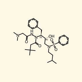 CC(C)CCN(C[C@@H](O)[C@H](Cc1ccccc1)N(NC(=O)CN(C)C)C(=O)CC(C)(C)C)S(=O)(=O)c1ccccc1